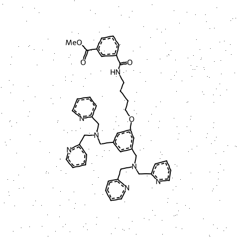 COC(=O)c1cccc(C(=O)NCCCCOc2cc(CN(Cc3ccccn3)Cc3ccccn3)cc(CN(Cc3ccccn3)Cc3ccccn3)c2)c1